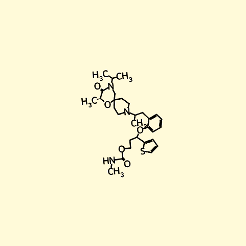 CNC(=O)OCCC(Oc1ccccc1CC(C)N1CCC2(CC1)CN(C(C)C)C(=O)[C@@H](C)O2)c1cccs1